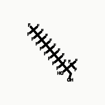 OCC(O)(C(F)(F)F)C(F)(F)C(F)(F)C(F)(F)C(F)(F)C(F)(F)C(F)(F)C(F)(F)C(F)(F)F